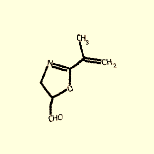 C=C(C)C1=NCC(C=O)O1